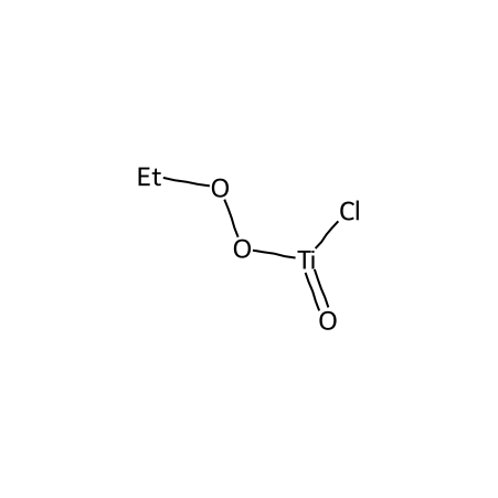 CCO[O][Ti](=[O])[Cl]